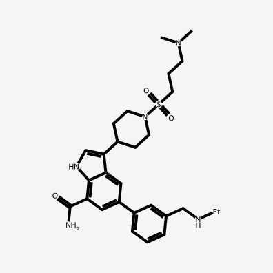 CCNCc1cccc(-c2cc(C(N)=O)c3[nH]cc(C4CCN(S(=O)(=O)CCCN(C)C)CC4)c3c2)c1